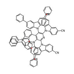 N#Cc1ccc2c(c1)c1cc(C#N)ccc1n2-c1nc(-n2c3ccc(C#N)cc3c3cc(C#N)ccc32)c(-n2c3ccc(-c4ccccc4)cc3c3cc(-c4ccccc4)ccc32)c(-c2cccc3c2c2ccccc2n3-c2ccccc2)c1-n1c2ccc(-c3ccccc3)cc2c2cc(-c3ccccc3)ccc21